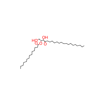 CCCCCCCCCCCCCCCCCC(=O)C(O)[C@H](CO)OC(=O)CCCCCCCCCCCCC